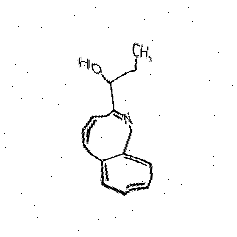 CCC(O)c1ccc2ccccc2n1